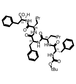 CC(C)C[C@@H](NC(=O)[C@H](Cc1ccccc1)NC(=O)[C@@H](CC(C)C)NC(=O)[C@H](Cc1ccccc1)NC(=O)OC(C)(C)C)C(=O)N[C@@H](Cc1ccccc1)C(=O)O